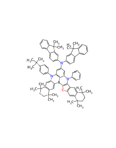 CC(C)(C)c1ccc(N2c3cc4c(cc3B3c5oc6cc7c(cc6c5N(c5ccccc5)c5cc(N(c6ccc8c(c6)C(C)(C)c6ccccc6-8)c6ccc8c(c6)C(C)(C)c6ccccc6-8)cc2c53)C(C)(C)CCC7(C)C)C(C)(C)CCC4(C)C)cc1